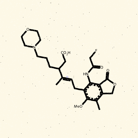 COc1c(C)c2c(c(NC(=O)CF)c1C/C=C(\C)C(CCCN1CCOCC1)CC(=O)O)C(=O)OC2